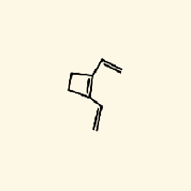 C=CC1=C(C=C)CC1